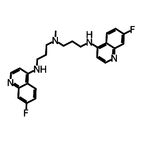 CN(CCCNc1ccnc2cc(F)ccc12)CCCNc1ccnc2cc(F)ccc12